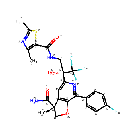 Cc1nc(C)c(C(=O)NC[C@](O)(c2cc3c(c(-c4ccc(F)cc4)n2)OC[C@]3(C)C(N)=O)C(F)(F)F)s1